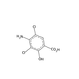 Nc1c(Cl)cc(C(=O)O)c(O)c1Cl